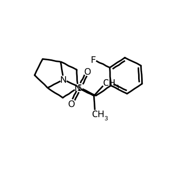 CC(C)N1CC2CCC(C1)N2S(=O)(=O)Cc1ccccc1F